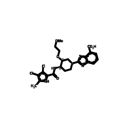 COCCO[C@H]1CN(c2nc3cccc(C(=O)O)c3s2)CC[C@H]1NC(=O)c1[nH]c(C)c(Cl)c1Cl